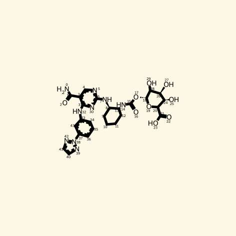 NC(=O)c1cnc(N[C@@H]2CCCC[C@@H]2NC(=O)O[C@H]2OC(C(=O)O)[C@@H](O)[C@H](O)C2O)nc1Nc1cccc(-n2nccn2)c1